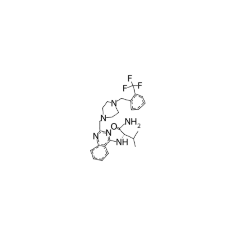 CC(C)[C@H](Nc1nc(CN2CCN(Cc3ccccc3C(F)(F)F)CC2)nc2ccccc12)C(N)=O